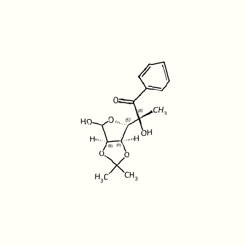 CC1(C)O[C@H]2[C@@H](O1)C(O)O[C@@H]2[C@@](C)(O)C(=O)c1ccccc1